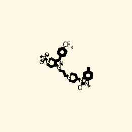 Cc1ccc2c(c1)n(C1CCN(CCCn3nc(-c4ccc(C(F)(F)F)cc4)c4c3CCN(S(C)(=O)=O)C4)CC1)c(=O)n2C